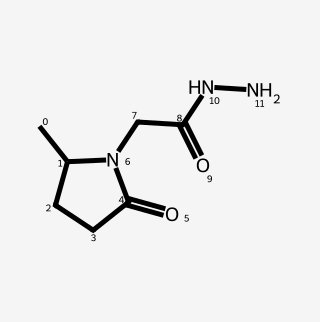 CC1CCC(=O)N1CC(=O)NN